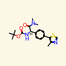 Cc1ncsc1-c1ccc([C@@H](NC(=O)OC(C)(C)C)C(=O)N(C)C)cc1